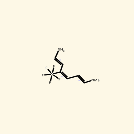 CN/C=C/C=C(\C=C\N)S(F)(F)(F)(F)F